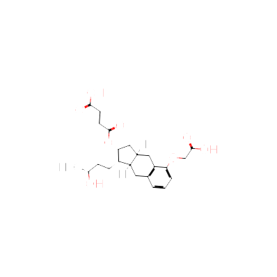 C[C@H](O)CC[C@@H]1[C@H]2Cc3cccc(OCC(=O)O)c3C[C@H]2C[C@H]1OC(=O)CCC(=O)O